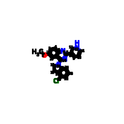 COc1ccc2nc(C3=CC=CNC3)nc(N3CCc4c(Cl)cccc43)c2c1